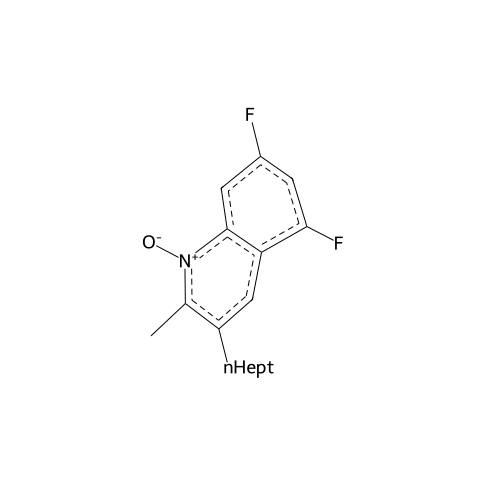 CCCCCCCc1cc2c(F)cc(F)cc2[n+]([O-])c1C